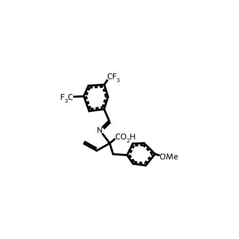 C=CC(Cc1ccc(OC)cc1)(N=Cc1cc(C(F)(F)F)cc(C(F)(F)F)c1)C(=O)O